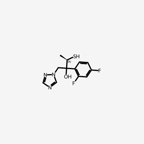 C[C@@H](S)C(O)(Cn1cncn1)c1ccc(F)cc1F